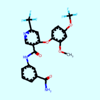 COc1cc(OC(F)(F)F)ccc1Oc1cc(C(F)(F)F)ncc1C(=O)Nc1cccc(C(N)=O)c1